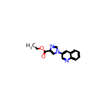 CCOC(=O)c1cn(-c2cnc3ccccc3c2)cn1